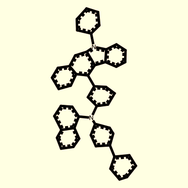 c1ccc(-c2ccc(N(c3cccc(-c4c5ccccc5cc5c4c4ccccc4n5-c4ccccc4)c3)c3cccc4ccccc34)cc2)cc1